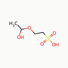 CC(O)OCCS(=O)(=O)O